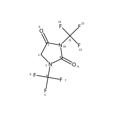 O=C1CN(C(F)(F)F)C(=O)N1C(F)(F)F